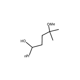 CCCC(O)CCC(C)(C)OC